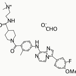 COc1ccc(-c2cnc3c(Nc4ccc(C(=O)N5CCC(C(=O)NCC[N+](C)(C)C)CC5)c(C)c4)nccn23)cc1F.O=C[O-]